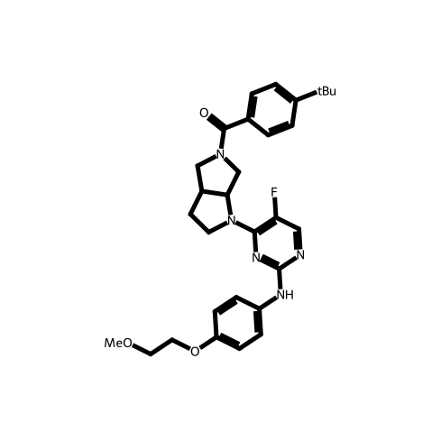 COCCOc1ccc(Nc2ncc(F)c(N3CCC4CN(C(=O)c5ccc(C(C)(C)C)cc5)CC43)n2)cc1